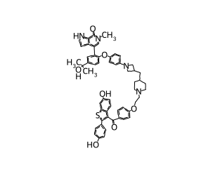 Cn1cc(-c2cc(C(C)(C)O)ccc2Oc2ccc(N3CC(CC4CCN(CCOc5ccc(C(=O)c6c(-c7ccc(O)cc7)sc7cc(O)ccc67)cc5)CC4)C3)cc2)c2cc[nH]c2c1=O